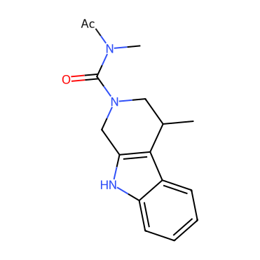 CC(=O)N(C)C(=O)N1Cc2[nH]c3ccccc3c2C(C)C1